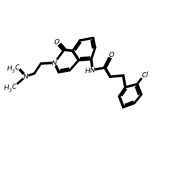 CN(C)CCn1ccc2c(NC(=O)CCc3ccccc3Cl)cccc2c1=O